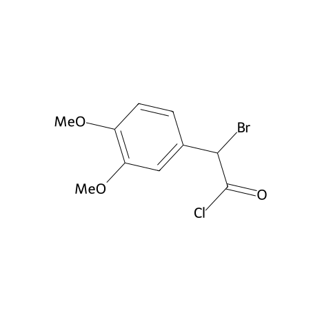 COc1ccc(C(Br)C(=O)Cl)cc1OC